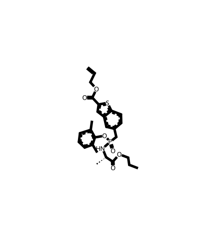 C=CCOC(=O)c1cc2cc(CP(=O)(N[C@@H](C)C(=O)OCCC)Oc3c(C)cccc3C)ccc2s1